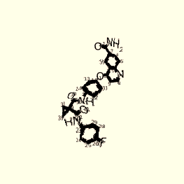 NC(=O)c1ccc2nccc(Oc3ccc(NC(=O)C4(C(=O)Nc5ccc(F)cc5)CC4)cc3)c2c1